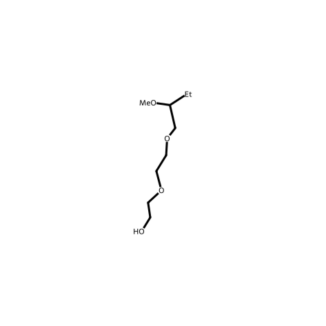 [CH2]CC(COCCOCCO)OC